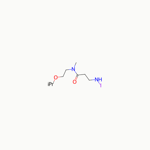 CC(C)OCCN(C)C(=O)CCNI